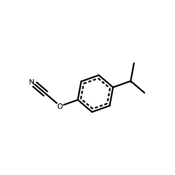 C[C](C)c1ccc(OC#N)cc1